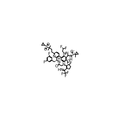 CC1([S+]([O-])Nc2nn(CC(F)F)c3c(-c4ccc(CCC(C)(C)S(=O)(=O)C5CC5)nc4[C@H](Cc4cc(F)cc(F)c4)NC(=O)CNC4=C(C(=N)C(F)(F)F)CCC4(F)F)ccc(Cl)c23)CC1